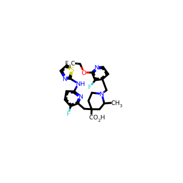 CC1CC(Cc2nc(Nc3nccs3)ccc2F)(C(=O)O)CCN1Cc1ccnc(OCC(F)(F)F)c1F